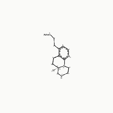 COCCc1ccnc2c1CC[C@@H]1CNCCN21